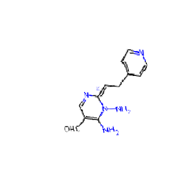 NC1=C(C=O)C=N/C(=C/Cc2ccncc2)N1N